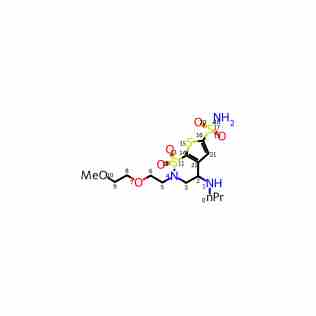 CCCNC1CN(CCOCCOC)S(=O)(=O)c2sc(S(N)(=O)=O)cc21